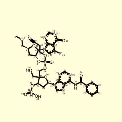 COC[C@@H]1C[C@@H](OP(=S)(OCCC#N)OC[C@@]2(CO)O[C@@H](n3cnc4c(NC(=O)c5ccccc5)ncnc43)CC2O[PH](=O)O)[C@H](n2cc(F)c3c(=O)[nH]cnc32)O1